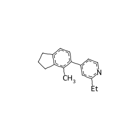 CCc1cc(-c2ccc3c(c2C)CCC3)ccn1